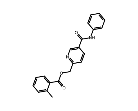 Cc1ccccc1C(=O)OCc1ccc(C(=O)Nc2ccccc2)cn1